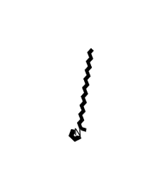 CCCCCCCCCCCCCCCCCCC(C)n1cccc1